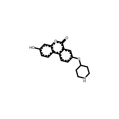 O=c1oc2cc(O)ccc2c2ccc(OC3CCNCC3)cc12